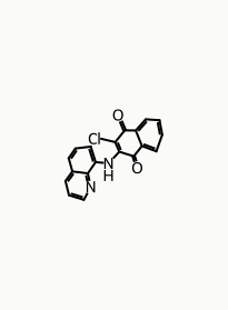 O=C1C(Cl)=C(Nc2cccc3cccnc23)C(=O)c2ccccc21